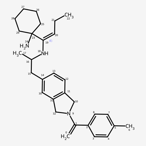 C=C(c1ccc(C)cc1)N1Cc2ccc(CC(C)N/C(=C/CC)C3(N)CCCCC3)cc2C1